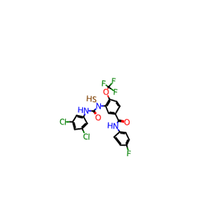 O=C(Nc1ccc(F)cc1)c1ccc(OC(F)(F)F)c(N(S)C(=O)Nc2cc(Cl)cc(Cl)c2)c1